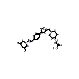 CC1CN(/N=C/c2ccc(C3=NOC(CN4CCC(OCC(=O)O)CC4)C3)cc2)CC(C)O1